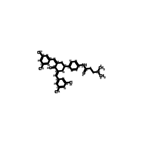 CN(C)CCC(=O)Nc1ccc(C2C/C(=C/c3cc(Cl)cc(Cl)c3)C(=O)/C(=C/c3cc(Cl)cc(Cl)c3)C2)cc1